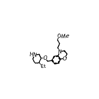 CC[C@H]1CCNC[C@@H]1OCc1ccc2c(c1)N(CCCOC)CCO2